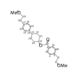 COCCc1ccc(C(=O)OC2CCC(c3ccc(CCOC)cc3)CC2)cc1